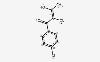 C/C(O)=C(\C#N)C(=O)c1ccc(Cl)cc1